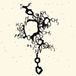 CCC1OC(=O)C(C)C(O[C@H]2C[C@@](C)(OC)[C@](O)(CNCc3ccc(-c4ccccc4)cc3)[C@H](C)O2)C(C)C(O[C@@H]2O[C@H](C)C[C@H](N(C)S(=O)(=O)Nc3ccc(C(F)(F)F)cc3)[C@H]2O)C(C)(O)CC(C)CNC(C)C(O)C1(C)O